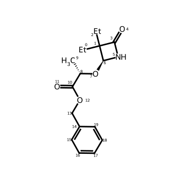 CCC1(CC)C(=O)N[C@H]1O[C@@H](C)C(=O)OCc1ccccc1